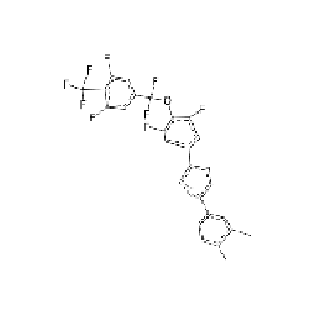 Cc1ccc(-c2ccc(-c3cc(F)c(OC(F)(F)c4cc(F)c(C(F)(F)F)c(F)c4)c(F)c3)cc2)cc1C